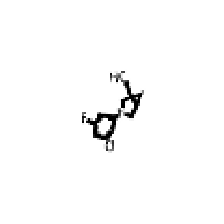 C#CC12CC1CN(c1cc(F)cc(Cl)c1)C2